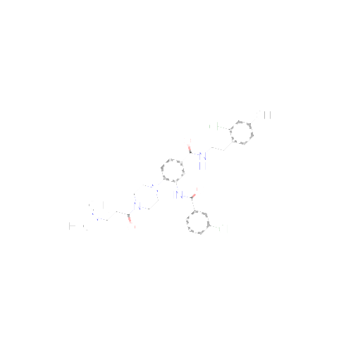 Cc1ccc(CCNC(=O)c2ccc(N3CCN(C(=O)CCN(C)C)CC3)c(NC(=O)c3cccc(Cl)c3)c2)c(Cl)c1